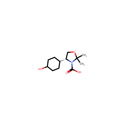 CC1(C)OC[C@@H](C2CCC(O)CC2)N1C(=O)O